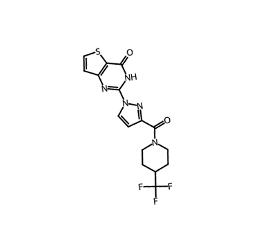 O=C(c1ccn(-c2nc3ccsc3c(=O)[nH]2)n1)N1CCC(C(F)(F)F)CC1